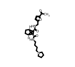 CC(=O)c1ccc(CNC(=O)[C@H]2[C@H](C(=O)NCCCCN3CCCC3)[C@H]3CC[C@@H]2C32CC2)o1